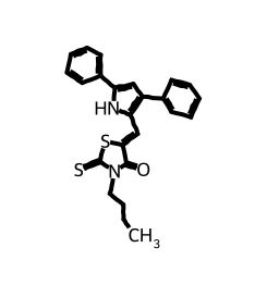 CCCCN1C(=O)/C(=C/c2[nH]c(-c3ccccc3)cc2-c2ccccc2)SC1=S